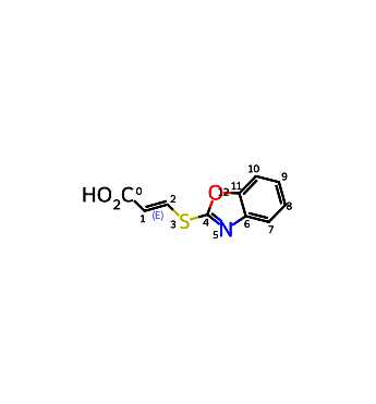 O=C(O)/C=C/Sc1nc2ccccc2o1